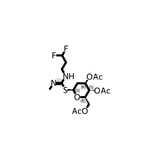 C/N=C(/NCCC(F)F)S[C@H]1C[C@@H](OC(C)=O)[C@H](OC(C)=O)[C@@H](COC(C)=O)O1